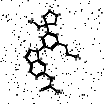 COCc1cc(-n2ccc3cnc(NC(C)=O)cc32)nc(C2(OC)CCOC2)c1